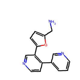 NCc1ccc(-c2cnccc2-c2cccnc2)o1